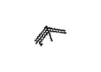 C=CCCCCCCCCCCCC(=C)C(CCCCCCCCCCCC=C)C(CCCCCCCCCCCC=C)C(CCCCCCCCCCCC=C)C(CCCCCCC)CCCCCCCCCCC(=C)C